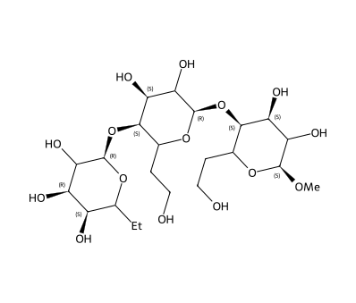 CCC1O[C@H](O[C@@H]2C(CCO)O[C@H](O[C@@H]3C(CCO)O[C@H](OC)C(O)[C@@H]3O)C(O)[C@@H]2O)C(O)[C@H](O)[C@@H]1O